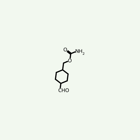 NC(=O)OCC1CCC(C=O)CC1